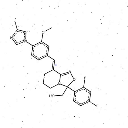 COc1cc(/C=C2\CCCN3C2=NOC3(CO)c2ccc(F)cc2F)ccc1-n1cnc(C)c1